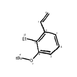 C=[C]c1cccc(OC(C)(C)C)c1CC